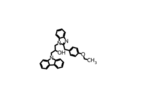 CCOc1ccc(Cc2nc3ccccc3n2CC(O)Cn2c3ccccc3c3ccccc32)cc1